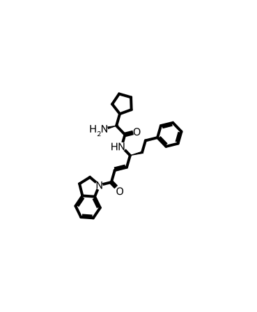 N[C@H](C(=O)N[C@H](/C=C/C(=O)N1CCc2ccccc21)CCc1ccccc1)C1CCCC1